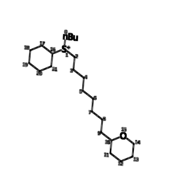 CCCC[S+](CCCCCCCCC1CCCCO1)C1CCCCC1